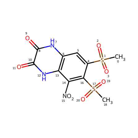 CS(=O)(=O)c1cc2[nH]c(=O)c(=O)[nH]c2c([N+](=O)[O-])c1S(C)(=O)=O